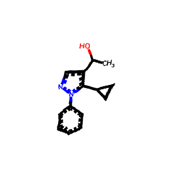 CC(O)c1cnn(-c2ccccc2)c1C1CC1